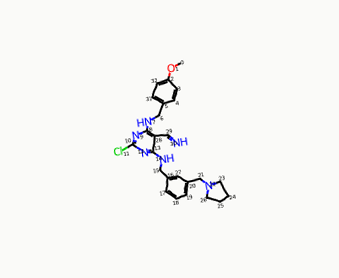 COc1ccc(CNc2nc(Cl)nc(NCc3cccc(CN4CCCC4)c3)c2C=N)cc1